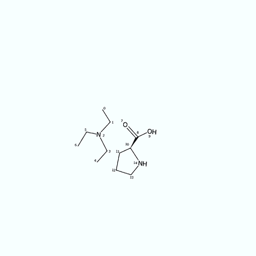 CCN(CC)CC.O=C(O)[C@@H]1CCCN1